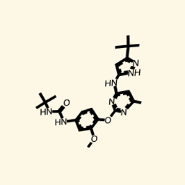 COc1cc(NC(=O)NC(C)(C)C)ccc1Oc1nc(C)cc(Nc2cc(C(C)(C)C)n[nH]2)n1